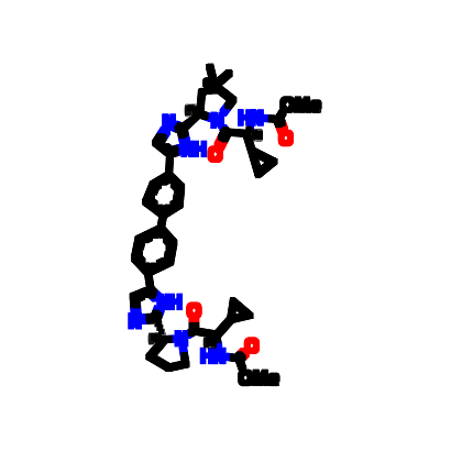 COC(=O)N[C@@H](C(=O)N1CCC[C@@H]1c1ncc(-c2ccc(-c3ccc(-c4cnc([C@H]5C[Si](C)(C)CN5C(=O)[C@H](NC(=O)OC)C5CC5)[nH]4)cc3)cc2)[nH]1)C1CC1